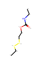 CCNC(=O)OCCSSCC